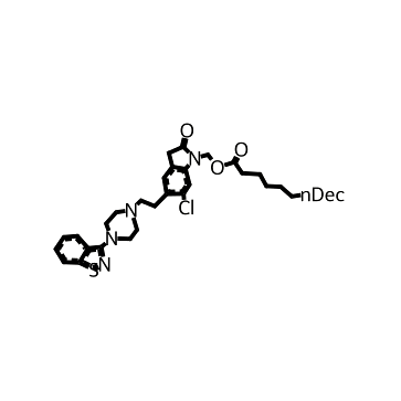 CCCCCCCCCCCCCCCC(=O)OCN1C(=O)Cc2cc(CCN3CCN(c4nsc5ccccc45)CC3)c(Cl)cc21